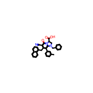 Cc1cccc(-c2c(Cc3cccc4ccccc34)c(C#N)c(=O)n3c2N(Cc2ccccc2)CC3C(=O)O)c1